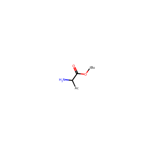 [CH2]C(=O)C(N)C(=O)OC(C)(C)C